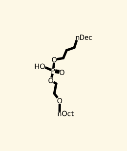 CCCCCCCCCCCCCOP(=O)(O)OCCOCCCCCCCC